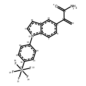 C=C(C(N)=O)c1ccc2c(ccn2-c2ccc(S(F)(F)(F)(F)F)cc2)c1